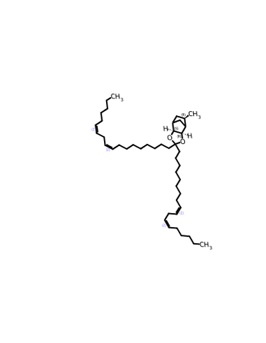 CCCCC/C=C\C/C=C\CCCCCCCCC1(CCCCCCCC/C=C\C/C=C\CCCCC)O[C@@H]2C3CC(C[C@H]3C)[C@@H]2O1